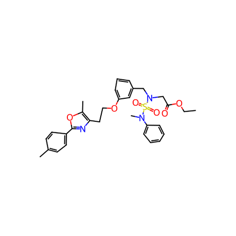 CCOC(=O)CN(Cc1cccc(OCCc2nc(-c3ccc(C)cc3)oc2C)c1)S(=O)(=O)N(C)c1ccccc1